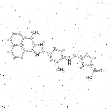 Cc1cc(-c2noc(C(C)c3cccc4ccccc34)n2)ccc1NCc1ccc(C(=O)O)s1